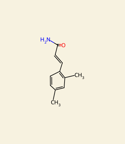 Cc1ccc(C=CC(N)=O)c(C)c1